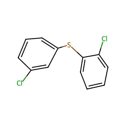 Clc1cccc(Sc2ccccc2Cl)c1